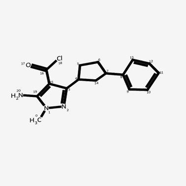 Cn1nc(C2CCC(c3ccccc3)C2)c(C(=O)Cl)c1N